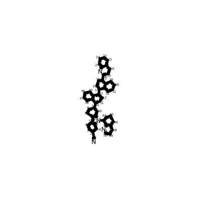 N#Cc1ccc2c3ccc(-c4ccc(-c5ccc(-c6ccc7ccccc7n6)c6ccccc56)c5ccccc45)cc3n(-c3cccc4cccnc34)c2c1